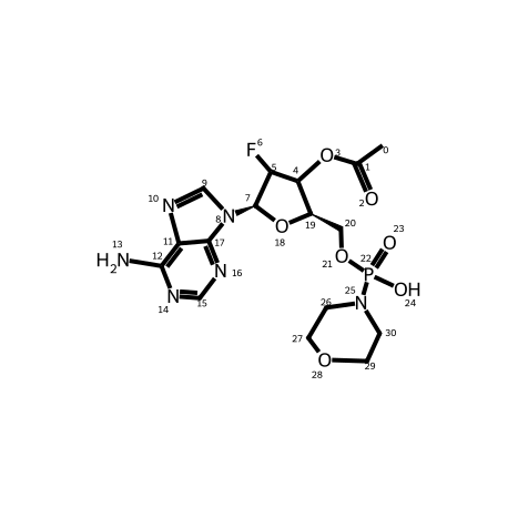 CC(=O)OC1C(F)[C@H](n2cnc3c(N)ncnc32)O[C@@H]1COP(=O)(O)N1CCOCC1